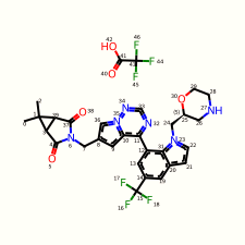 CC1(C)C2C(=O)N(Cc3cc4c(-c5cc(C(F)(F)F)cc6ccn(C[C@@H]7CNCCO7)c56)ncnn4c3)C(=O)C21.O=C(O)C(F)(F)F